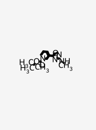 CNc1noc(C2=CCCN(C(=O)OC(C)(C)C)C2)n1